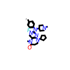 [CH]c1ccc(N(c2ncc3c(n2)N(C2CCCC2)CCC(=O)N3C)C2CCN(C)CC2)c(F)c1